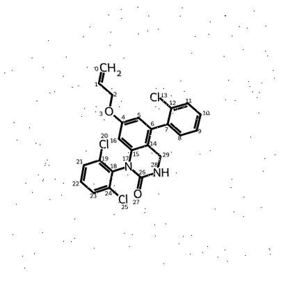 C=CCOc1cc(-c2ccccc2Cl)c2c(c1)N(c1c(Cl)cccc1Cl)C(=O)NC2